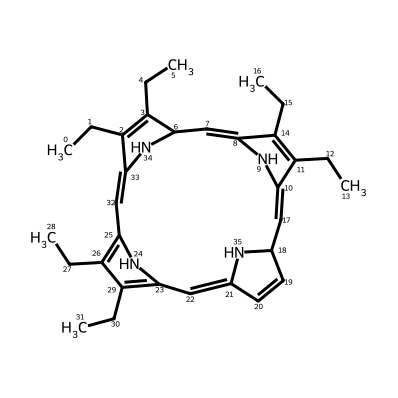 CCC1=C(CC)C2/C=c3\[nH]/c(c(CC)c3CC)=C\C3C=C/C(=C/c4[nH]c(c(CC)c4CC)/C=C/1N2)N3